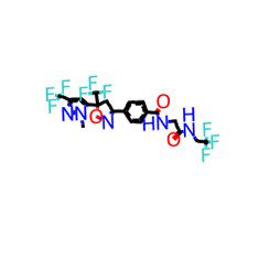 Cn1nc(C(F)(F)F)cc1C1(C(F)(F)F)CC(c2ccc(C(=O)NCC(=O)NCC(F)(F)F)cc2)=NO1